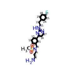 CS(=O)(=O)N(CCCN)Cc1cccc(-c2ccnc(NCCc3ccc(F)cc3)n2)c1